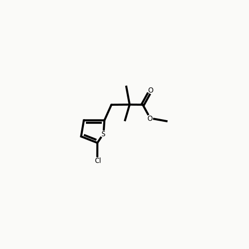 COC(=O)C(C)(C)Cc1ccc(Cl)s1